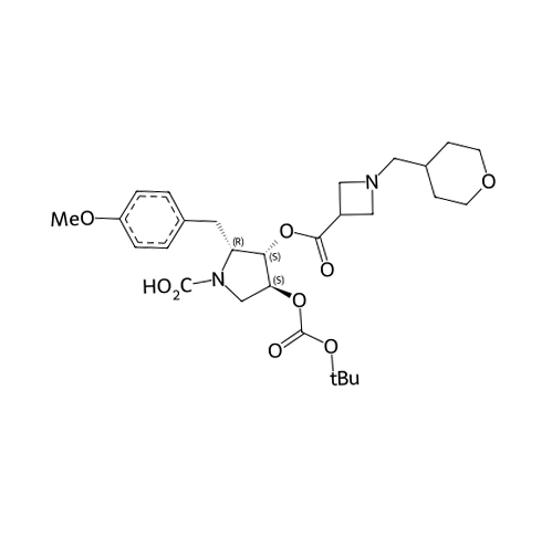 COc1ccc(C[C@@H]2[C@H](OC(=O)C3CN(CC4CCOCC4)C3)[C@@H](OC(=O)OC(C)(C)C)CN2C(=O)O)cc1